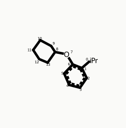 CC(C)c1ccccc1OC1CCCCC1